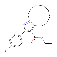 CCOC(=O)c1c(-c2ccc(Cl)cc2)nc2n1CCCCCCCC2